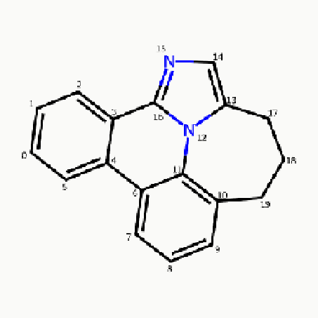 c1ccc2c(c1)c1cccc3c1n1c(cnc21)CCC3